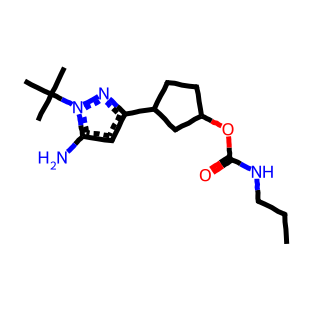 CCCNC(=O)OC1CCC(c2cc(N)n(C(C)(C)C)n2)C1